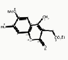 CCOC(=O)Cc1c(C)c2cc(OC)c(O)cc2oc1=O